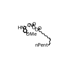 CCCCC/C=C\C/C=C\CCCCCCCC(=O)OCOC(=O)N1CC[C@@H](c2c[nH]c3ccc(OC)cc23)C1